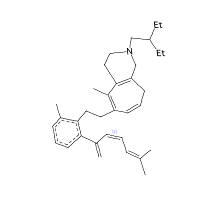 C=C(/C=C\C=C(C)C)c1cccc(C)c1CCC1=C(C)C2=C(CC=C1)CN(CC(CC)CC)CC2